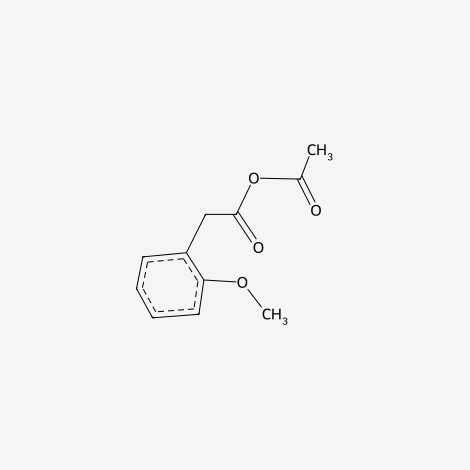 COc1ccccc1CC(=O)OC(C)=O